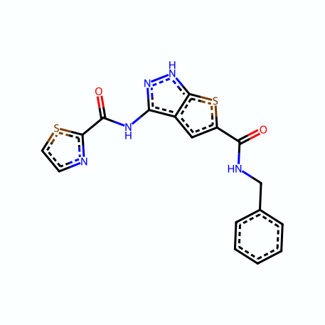 O=C(NCc1ccccc1)c1cc2c(NC(=O)c3nccs3)n[nH]c2s1